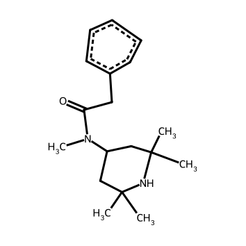 CN(C(=O)Cc1ccccc1)C1CC(C)(C)NC(C)(C)C1